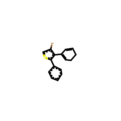 Brc1csc(-c2ccccc2)c1C1=CCCC=C1